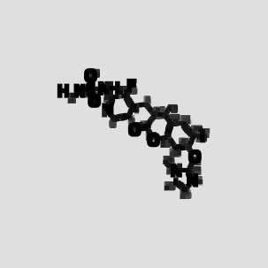 Cc1c(Cc2ccnc(NS(N)(=O)=O)c2F)c(=O)oc2cc(Oc3nccn3C)c(F)cc12